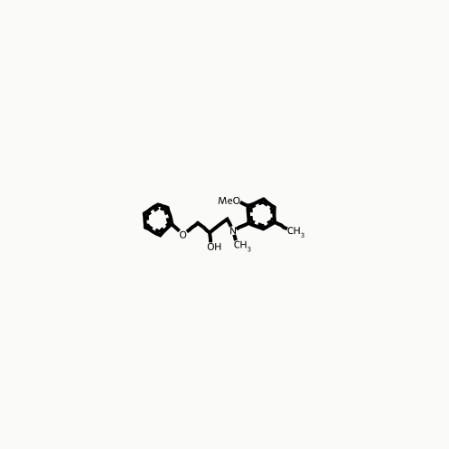 COc1ccc(C)cc1N(C)CC(O)COc1ccccc1